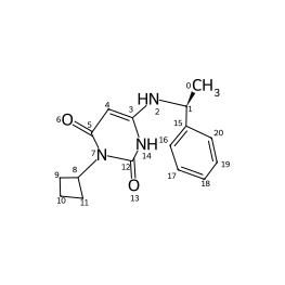 C[C@H](Nc1cc(=O)n(C2CCC2)c(=O)[nH]1)c1ccccc1